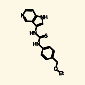 CCOCc1ccc(NC(=S)Nc2c[nH]c3ccncc23)cc1